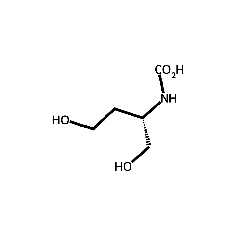 O=C(O)N[C@H](CO)CCO